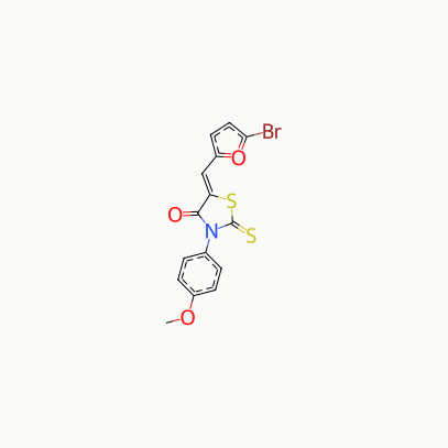 COc1ccc(N2C(=O)C(=Cc3ccc(Br)o3)SC2=S)cc1